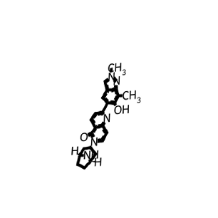 Cc1c(O)c(-c2ccc3c(=O)n(C4C[C@H]5CC[C@@H](C4)N5)ccc3n2)cc2cn(C)nc12